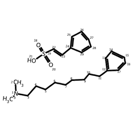 CN(C)CCCCCCCCCc1ccccc1.O=S(=O)(O)C=Cc1ccccc1